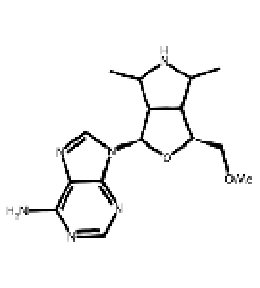 COC[C@H]1O[C@@H](n2cnc3c(N)ncnc32)C2C(C)NC(C)C21